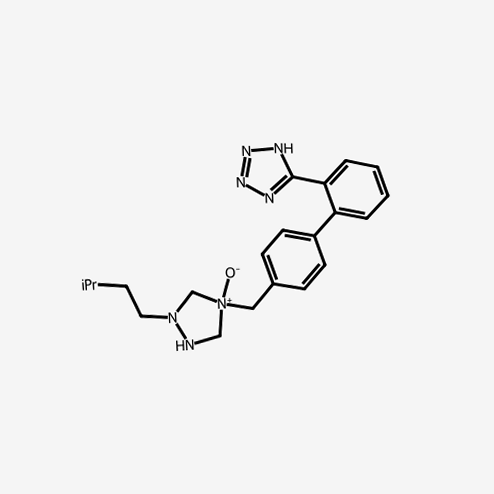 CC(C)CCN1C[N+]([O-])(Cc2ccc(-c3ccccc3-c3nnn[nH]3)cc2)CN1